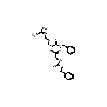 NC(N)=NCCC[C@H](NC(=O)CNC(=O)OCc1ccccc1)C(=O)SCc1ccccc1